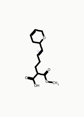 COC(=O)C(CC/C=C/C1CC=CCO1)C(=O)O